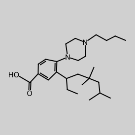 CCCCN1CCN(c2ccc(C(=O)O)cc2C(CC)CC(C)(C)CC(C)C)CC1